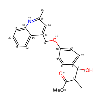 COC(=O)C(C)C(O)c1ccc(OCc2cc(C)nc3ccccc23)cc1